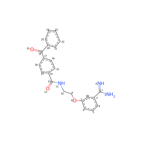 N=C(N)c1cccc(OCCNC(=O)c2ccc(C(=O)c3ccccc3)cc2)c1